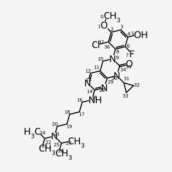 COc1cc(O)c(F)c(N2Cc3cnc(NCCCCCN(C(C)C)C(C)C)nc3N(C3CC3)C2=O)c1Cl